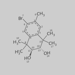 Cc1cc2c(cc1Br)C(C)(C)[C@H](O)[C@@H](O)C2(C)C